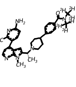 [2H]C([2H])([2H])N(C(=O)c1ccc(C2CCN([C@H](C)c3cc4c(-c5ccc(N)nc5C#N)ccnc4n3C)CC2)cc1)C([2H])([2H])[2H]